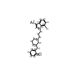 CC(=O)c1cn(CCCN2CCCC(Cc3ccccc3Cl)C2)c2c(C)cccc12